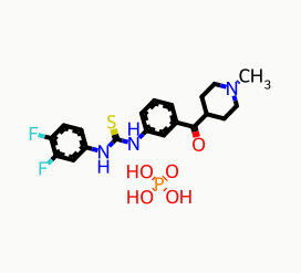 CN1CCC(C(=O)c2cccc(NC(=S)Nc3ccc(F)c(F)c3)c2)CC1.O=P(O)(O)O